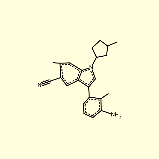 Cc1cc2c(cc1C#N)c(-c1cccc(N)c1C)cn2C1CCC(C)C1